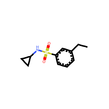 CCc1cccc(S(=O)(=O)NC2CC2)c1